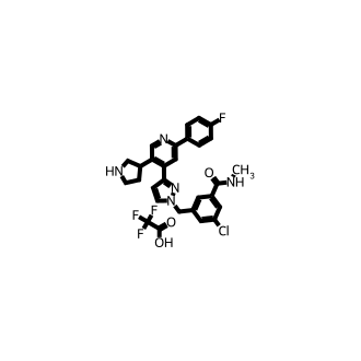 CNC(=O)c1cc(Cl)cc(Cn2ccc(-c3cc(-c4ccc(F)cc4)ncc3C3CCNC3)n2)c1.O=C(O)C(F)(F)F